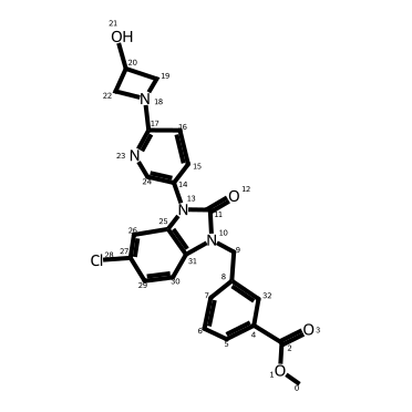 COC(=O)c1cccc(Cn2c(=O)n(-c3ccc(N4CC(O)C4)nc3)c3cc(Cl)ccc32)c1